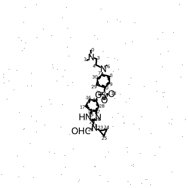 CN(C)CCN(C)c1ccc(S(=O)(=O)Oc2ccc3[nH]c(N(C=O)C4CC4)nc3c2)cc1